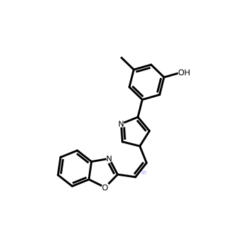 Cc1cc(O)cc(C2=CC(/C=C\c3nc4ccccc4o3)C=N2)c1